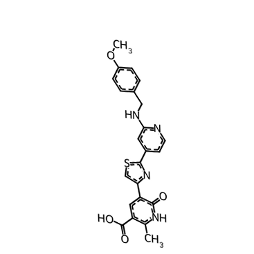 COc1ccc(CNc2cc(-c3nc(-c4cc(C(=O)O)c(C)[nH]c4=O)cs3)ccn2)cc1